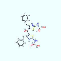 O=C(O)Nc1nc(Cc2ccccc2)c(C(=O)c2sc(NC(=O)O)nc2Cc2ccccc2)s1